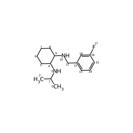 CC(C)NC1CCCCC1NCc1cccc(F)c1